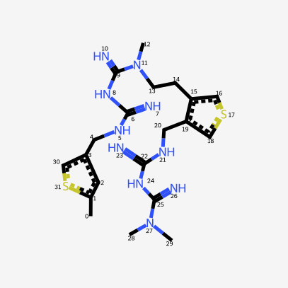 Cc1cc(CNC(=N)NC(=N)N(C)CCc2cscc2CNC(=N)NC(=N)N(C)C)cs1